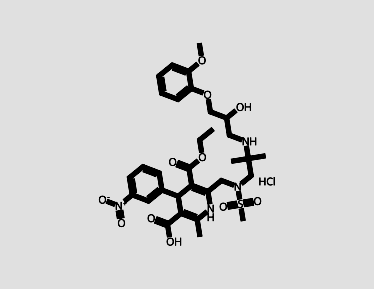 CCOC(=O)C1=C(CN(CC(C)(C)NCC(O)COc2ccccc2OC)S(C)(=O)=O)NC(C)=C(C(=O)O)C1c1cccc([N+](=O)[O-])c1.Cl